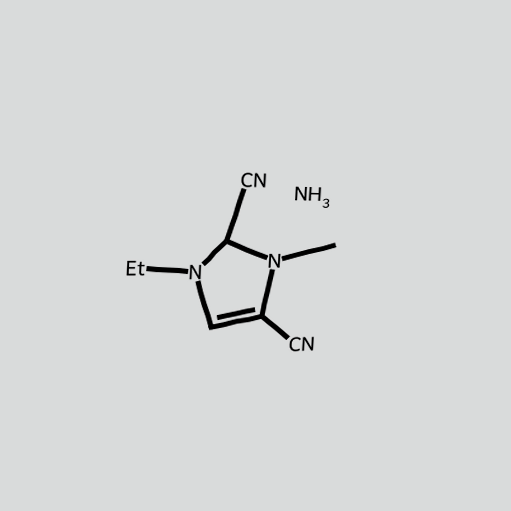 CCN1C=C(C#N)N(C)C1C#N.N